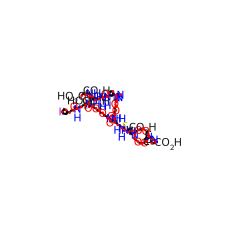 O=C(O)CC[C@H](NC(=O)N[C@@H](CCCCNC(=O)Nc1cccc(-c2cnnn2CCOCCOCCC(=O)N[C@@H](CCCCNC(=S)Nc2cc(CN3CCOCCOCCN(Cc4cccc(C(=O)O)n4)CCOCCOCC3)nc(C(=O)O)c2)C(=O)NCCCOCCCOCCC(=O)N[C@@H](CCCCNC(=O)CCCc2ccc(I)cc2)C(=O)O)c1)C(=O)O)C(=O)O